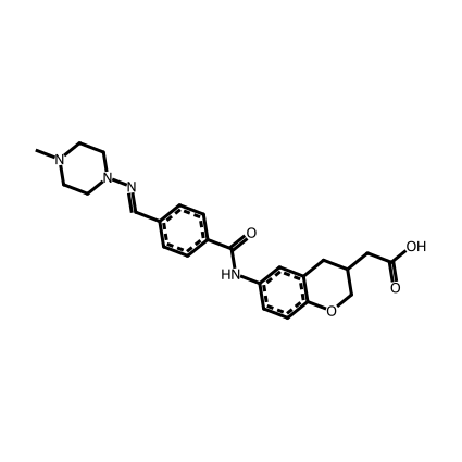 CN1CCN(N=Cc2ccc(C(=O)Nc3ccc4c(c3)CC(CC(=O)O)CO4)cc2)CC1